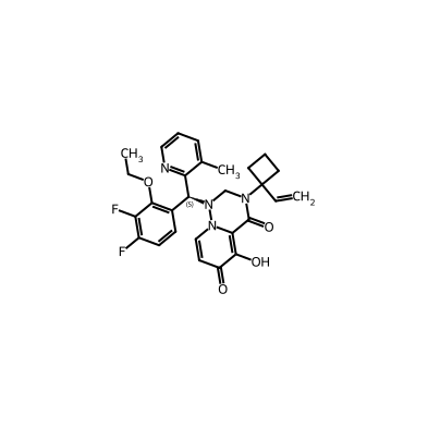 C=CC1(N2CN([C@@H](c3ccc(F)c(F)c3OCC)c3ncccc3C)n3ccc(=O)c(O)c3C2=O)CCC1